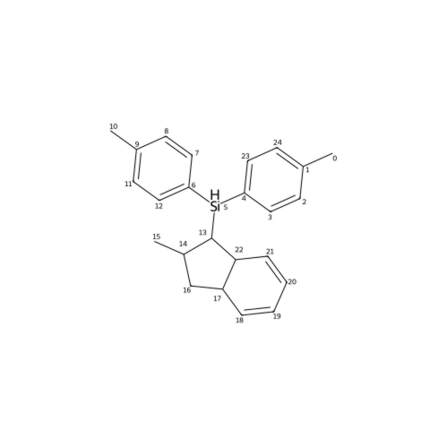 Cc1ccc([SiH](c2ccc(C)cc2)C2C(C)CC3C=CC=CC32)cc1